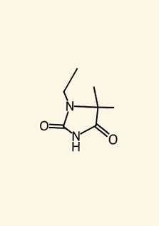 CCN1C(=O)NC(=O)C1(C)C